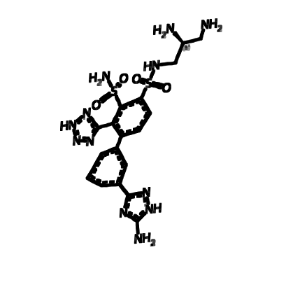 NC[C@H](N)CNS(=O)(=O)c1ccc(-c2cccc(-c3n[nH]c(N)n3)c2)c(-c2nn[nH]n2)c1S(N)(=O)=O